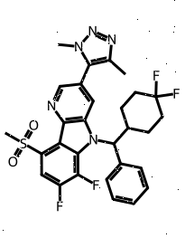 Cc1nnn(C)c1-c1cnc2c3c(S(C)(=O)=O)cc(F)c(F)c3n(C(c3ccccc3)C3CCC(F)(F)CC3)c2c1